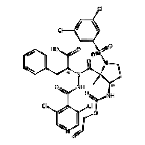 C=CCOC(=O)N[C@@H]1CCN(S(=O)(=O)c2cc(Cl)cc(Cl)c2)C1(C)C(=O)N(NC(=O)c1c(Cl)cncc1Cl)[C@@H](Cc1ccccc1)C(=O)O